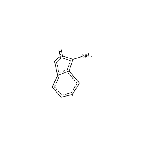 Nc1[nH]cc2cc[c]cc12